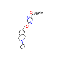 CNC(=O)c1cnc(OCc2ccc3c(c2)CCN(C2CCCC2)CC3)cn1